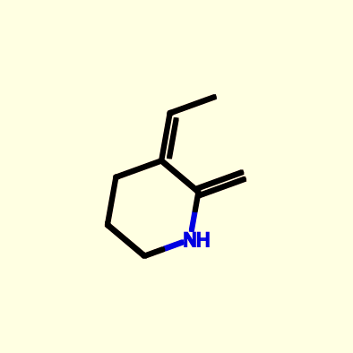 C=C1NCCC/C1=C/C